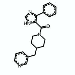 O=C(c1[nH]cnc1-c1ccccc1)N1CCC(Cc2cccnc2)CC1